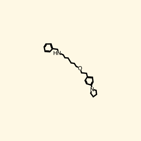 c1ccc(CNCCCCCCOCCc2ccc(N3CCCC3)cc2)cc1